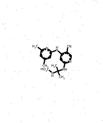 Cc1cc(C)nc(Nc2cc(NC(C)(C)NC(=O)O)ncc2C#N)c1